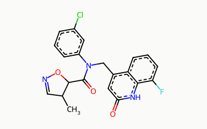 CC1C=NOC1C(=O)N(Cc1cc(=O)[nH]c2c(F)cccc12)c1cccc(Cl)c1